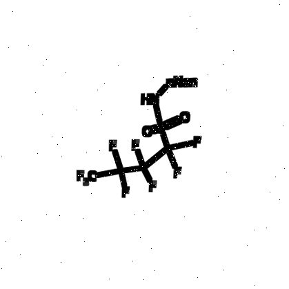 CCCCCCCCCNS(=O)(=O)C(F)(F)C(F)(F)C(F)(F)C(F)(F)F